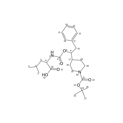 CC(C)CC(NC(=O)OC(Cc1ccccc1)C1CCN(C(=O)OC(C)(C)C)CC1)C(=O)O